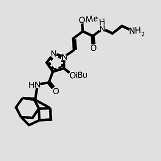 COC(/C=C/n1ncc(C(=O)NC2C3CC4CC5CC2C5(C4)C3)c1OCC(C)C)C(=O)NCCN